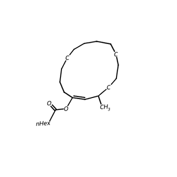 CCCCCCC(=O)O/C1=C/C(C)CCCCCCCCCCCC1